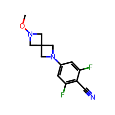 CON1CC2(C1)CN(c1cc(F)c(C#N)c(F)c1)C2